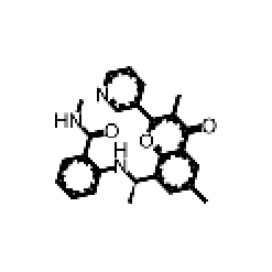 CNC(=O)c1ccccc1N[C@H](C)c1cc(C)cc2c(=O)c(C)c(-c3cccnc3)oc12